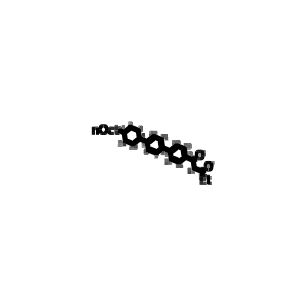 CCCCCCCCC1CCC(c2ccc(-c3ccc(C(=O)CC(=O)CC)cc3)cc2)CC1